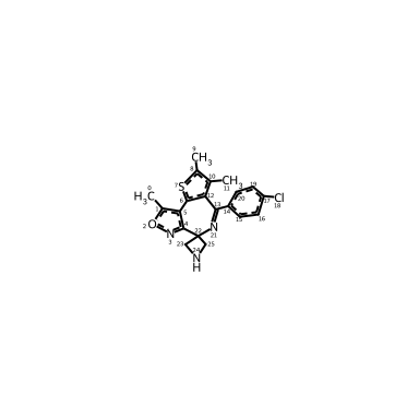 Cc1onc2c1-c1sc(C)c(C)c1C(c1ccc(Cl)cc1)=NC21CNC1